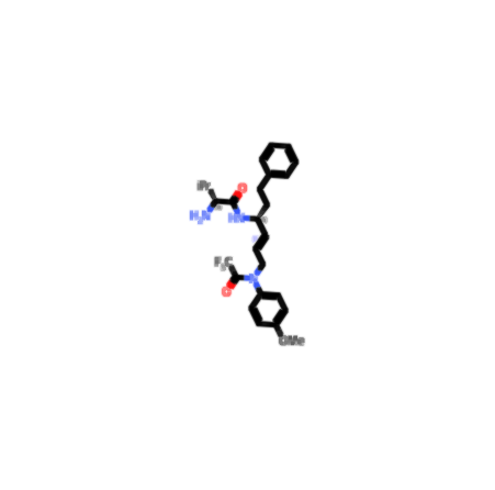 COc1ccc(N(C/C=C/[C@H](CCc2ccccc2)NC(=O)[C@@H](N)C(C)C)C(=O)C(F)(F)F)cc1